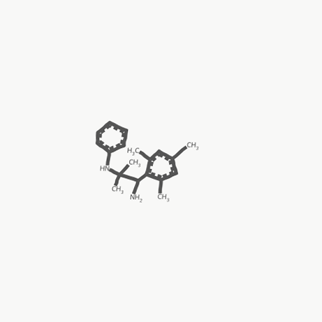 Cc1cc(C)c(C(N)C(C)(C)Nc2ccccc2)c(C)c1